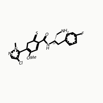 COC1=C(c2c(Cl)cnn2C)CC(=S)C(C(=O)N[C@H](CN)Cc2ccc(F)cc2)=C1